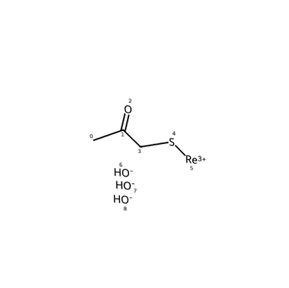 CC(=O)C[S][Re+3].[OH-].[OH-].[OH-]